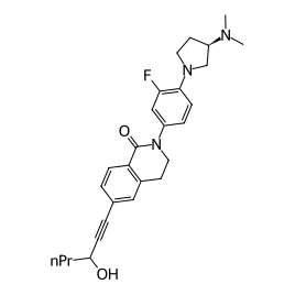 CCCC(O)C#Cc1ccc2c(c1)CCN(c1ccc(N3CC[C@@H](N(C)C)C3)c(F)c1)C2=O